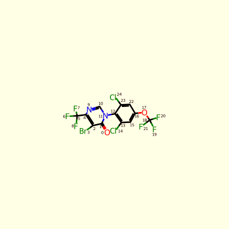 O=c1c(Br)c(C(F)(F)F)ncn1-c1c(Cl)cc(OC(F)(F)F)cc1Cl